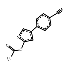 CC(=O)Oc1cc(-c2ccc(C#N)cc2)cs1